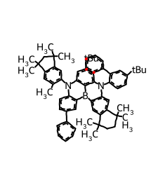 Cc1cc2c(cc1N1c3ccc(-c4ccccc4)cc3B3c4cc5c(cc4N(c4ccc(C(C)(C)C)cc4-c4ccccc4)c4cc(C(C)(C)C)cc1c43)C(C)(C)CCC5(C)C)C(C)(C)CC2(C)C